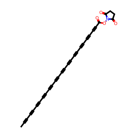 CC#CC#CC#CC#CC#CC#CC#CC#CC#CC#CC#CC#CC(=O)ON1C(=O)CCC1=O